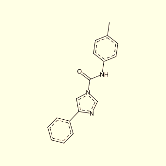 Cc1ccc(NC(=O)n2cnc(-c3ccccc3)c2)cc1